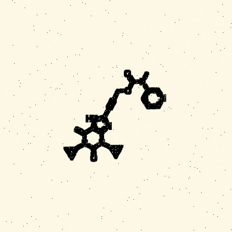 C=C1c2[nH]c(C#CCOC(=O)N(C)c3cccnc3)nc2N(C2CC2)C(=O)N1C1CC1